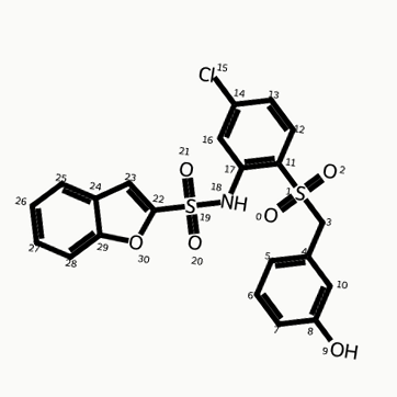 O=S(=O)(Cc1cccc(O)c1)c1ccc(Cl)cc1NS(=O)(=O)c1cc2ccccc2o1